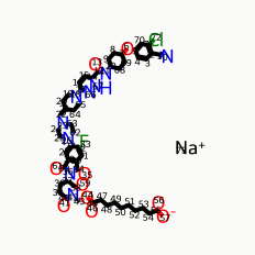 N#Cc1ccc(OC2CCC(NC(=O)c3ccc(N4CCC(CN5CCN(c6cc7c(cc6F)C(=O)N(C6CCC(=O)N(COC(=O)CCCCCCCCC(=O)[O-])C6=O)C7=O)CC5)CC4)nn3)CC2)cc1Cl.[Na+]